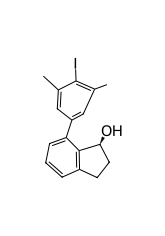 Cc1cc(-c2cccc3c2[C@@H](O)CC3)cc(C)c1I